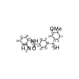 COc1cccc(C(S)c2ccc(C(=O)Nc3ccccc3N)cc2)c1